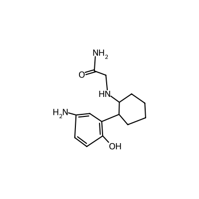 NC(=O)CNC1CCCCC1c1cc(N)ccc1O